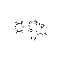 CC(C)C(O[S@@](=O)c1ccccc1)C(C)C